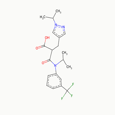 CC(C)N(C(=O)C(Cc1cnn(C(C)C)c1)C(=O)O)c1cccc(C(F)(F)F)c1